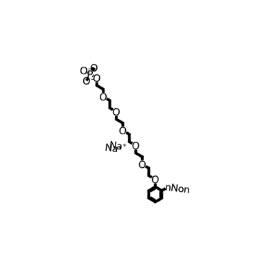 CCCCCCCCCc1ccccc1OCCOCCOCCOCCOCCOCCOP(=O)([O-])[O-].[Na+].[Na+]